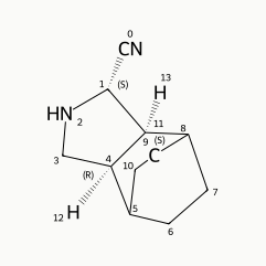 N#C[C@H]1NC[C@@H]2C3CCC(CC3)[C@@H]21